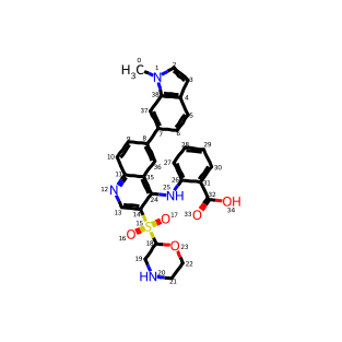 Cn1ccc2ccc(-c3ccc4ncc(S(=O)(=O)C5CNCCO5)c(Nc5ccccc5C(=O)O)c4c3)cc21